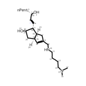 CCCCC[C@H](O)/C=C/[C@@H]1[C@H]2CC(CNCCCCN(C)C)=C[C@H]2C[C@H]1O